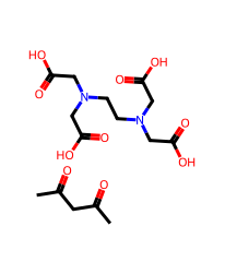 CC(=O)CC(C)=O.O=C(O)CN(CCN(CC(=O)O)CC(=O)O)CC(=O)O